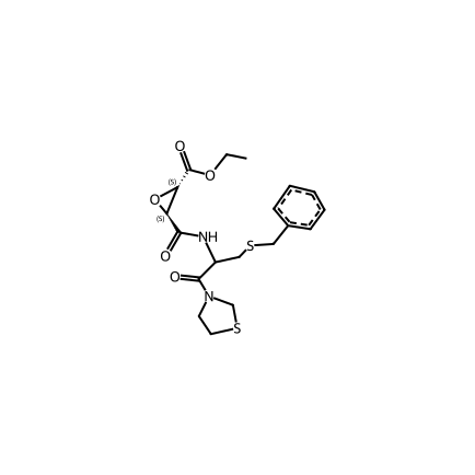 CCOC(=O)[C@H]1O[C@@H]1C(=O)NC(CSCc1ccccc1)C(=O)N1CCSC1